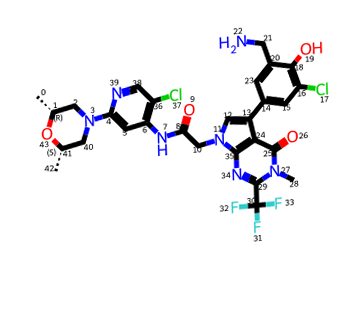 C[C@@H]1CN(c2cc(NC(=O)Cn3cc(-c4cc(Cl)c(O)c(CN)c4)c4c(=O)n(C)c(C(F)(F)F)nc43)c(Cl)cn2)C[C@H](C)O1